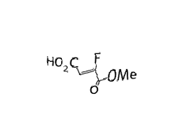 COC(=O)/C(F)=C/C(=O)O